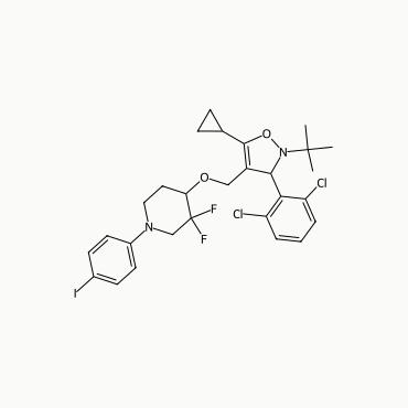 CC(C)(C)N1OC(C2CC2)=C(COC2CCN(c3ccc(I)cc3)CC2(F)F)C1c1c(Cl)cccc1Cl